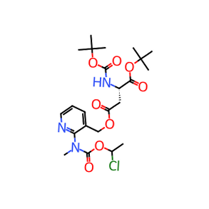 CC(Cl)OC(=O)N(C)c1ncccc1COC(=O)C[C@H](NC(=O)OC(C)(C)C)C(=O)OC(C)(C)C